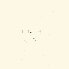 CCc1cc(CC)cc(SCn2c(N)[n+](CSc3cc(CC)cc(CC)c3)c3cc(Cc4ccccc4)ccc32)c1.[I-]